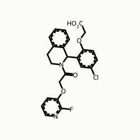 O=C(O)COc1ccc(Cl)cc1C1c2ccccc2CCN1C(=O)COc1cccnc1F